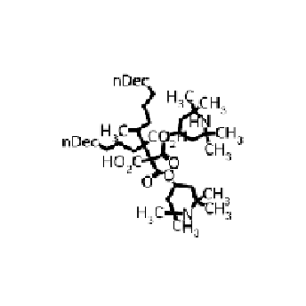 CCCCCCCCCCCCCC(C)C(CCCCCCCCCCCCC)(C(=O)O)C(C(=O)O)(C(=O)OC1CC(C)(C)NC(C)(C)C1)C(=O)OC1CC(C)(C)NC(C)(C)C1